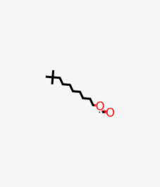 CC(C)(C)CCCCCCCCO[C]=O